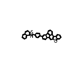 C1=CC2c3cc4oc5ccccc5c4c4cccc(c34)C2C=C1c1ccc(-c2nc3c(ccc4ccccc43)s2)cc1